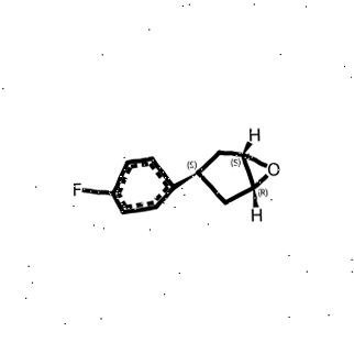 Fc1ccc([C@H]2C[C@@H]3O[C@@H]3C2)cc1